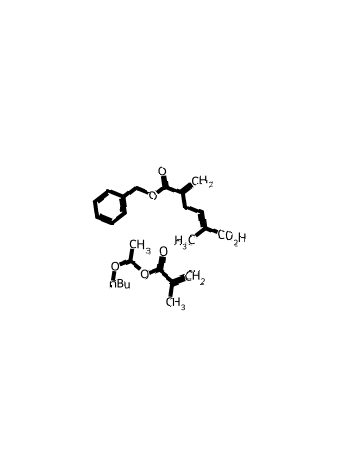 C=C(C)C(=O)OC(C)OCCCC.C=C(CC=C(C)C(=O)O)C(=O)OCc1ccccc1